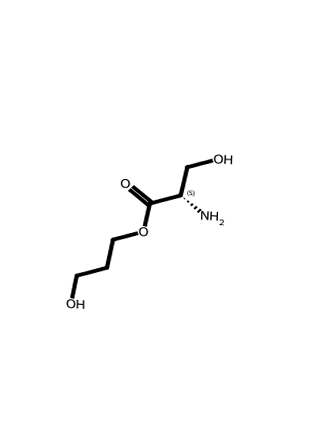 N[C@@H](CO)C(=O)OCCCO